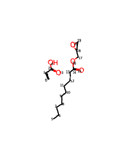 C=CC(=O)O.CCCCCCCCCC(=O)OCC1CO1